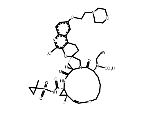 CC(C)CN(C(=O)O)[C@H]1CCCCC/C=C\[C@@H]2C[C@@]2(C(=O)NS(=O)(=O)C2(C)CC2)NC(=O)[C@@H]2C[C@]3(CCc4c(c(C(F)(F)F)nc5ccc(OCCN6CCOCC6)cc45)O3)CN2C1=O